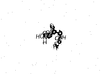 Cc1ccc(NC(=O)N2CC[C@@H](CC(F)(F)F)C2)cc1-c1cc(N2CCOCC2)nc(N2CC[C@@H](NC(=O)O)C2=O)c1